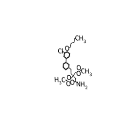 CCCCCOc1ccc(-c2cccc(CCC(COC(C)=O)(COC(C)=O)CC(N)=O)c2)cc1Cl